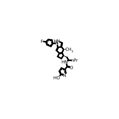 CCCC(C[C@H]1CCC2=C1[C@@H](C)C1=CNN(c3ccc(F)cc3)C1=C2)NC(=O)c1ccc(O)nc1